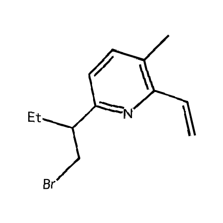 C=Cc1nc(C(CC)CBr)ccc1C